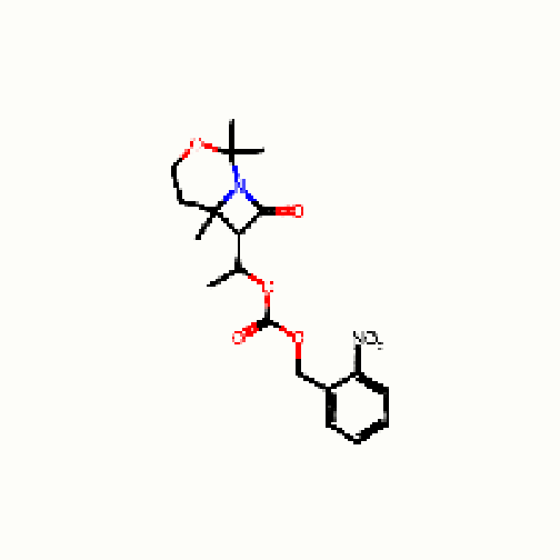 CC(OC(=O)OCc1ccccc1[N+](=O)[O-])[C@@H]1C(=O)N2C(C)(C)OCCC12C